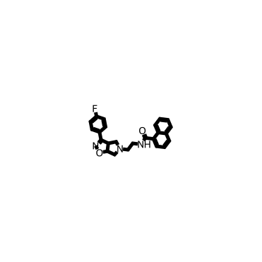 O=C(NCCN1CC2ON=C(c3ccc(F)cc3)C2C1)c1cccc2ccccc12